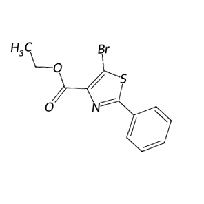 CCOC(=O)c1nc(-c2ccccc2)sc1Br